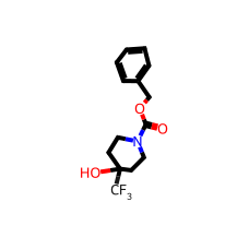 O=C(OCc1ccccc1)N1CCC(O)(C(F)(F)F)CC1